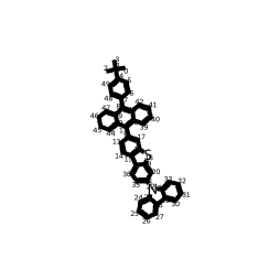 CC(C)(C)c1ccc(-c2c3c(c(-c4ccc5c(c4)sc4cc(-n6c7ccccc7c7ccccc76)ccc45)c4ccccc24)=CCCC=3)cc1